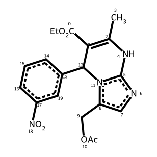 CCOC(=O)C1=C(C)Nc2ncc(COC(C)=O)n2C1c1cccc([N+](=O)[O-])c1